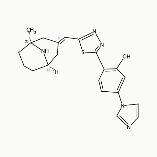 C[C@]12CCC[C@H](C/C(=C\c3nnc(-c4ccc(-n5ccnc5)cc4O)s3)C1)N2